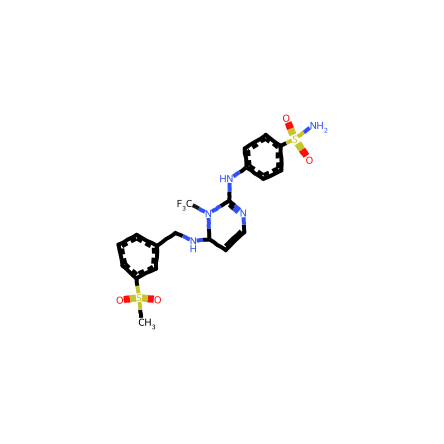 CS(=O)(=O)c1cccc(CNC2C=CN=C(Nc3ccc(S(N)(=O)=O)cc3)N2C(F)(F)F)c1